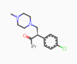 CC(C)C(=O)[C@@H](CN1CCN(C)CC1)c1ccc(Cl)cc1